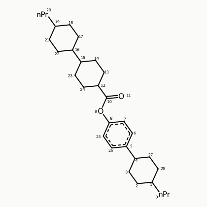 CCCC1CCC(c2ccc(OC(=O)C3CCC(C4CCC(CCC)CC4)CC3)cc2)CC1